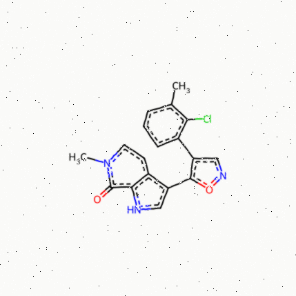 Cc1cccc(-c2cnoc2-c2c[nH]c3c(=O)n(C)ccc23)c1Cl